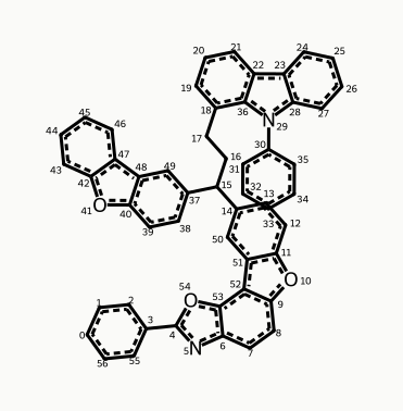 c1ccc(-c2nc3ccc4oc5ccc(C(CCc6cccc7c8ccccc8n(-c8ccccc8)c67)c6ccc7oc8ccccc8c7c6)cc5c4c3o2)cc1